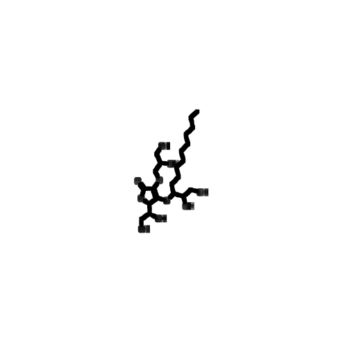 CCCCCCCCCCC(OC1=C(OCC(O)CO)C(=O)O[C@@H]1[C@@H](O)CO)C(O)CO